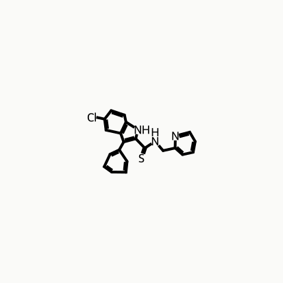 S=C(NCc1ccccn1)c1[nH]c2ccc(Cl)cc2c1-c1ccccc1